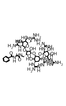 N=C(N)NCC1O[C@H](O[C@@H]2C(NC(=N)N)C[C@@H](NC(=N)N)C(O)C2O[C@@H]2O[C@H](CNC(=O)CNC(=O)c3ccccc3)C(OC3O[C@@H](CNC(=N)N)C(O)C(O)[C@H]3NC(=N)N)C2O)C(NC(=N)N)C(O)[C@@H]1O